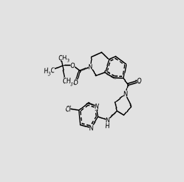 CC(C)(C)OC(=O)N1CCc2ccc(C(=O)N3CCC(Nc4ncc(Cl)cn4)C3)cc2C1